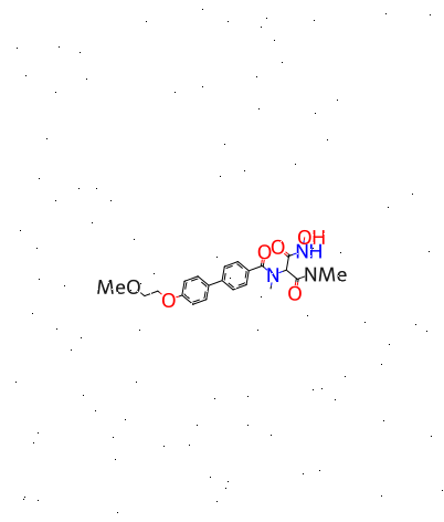 CNC(=O)C(C(=O)NO)N(C)C(=O)c1ccc(-c2ccc(OCCOC)cc2)cc1